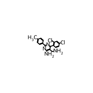 Cc1ccc(-c2nc(N)c(CN)c(-c3ccc(Cl)cc3Cl)n2)cc1